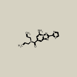 C=CCN(CC=C)C(=O)c1cc(N)n2nc(-c3nccs3)nc2c1